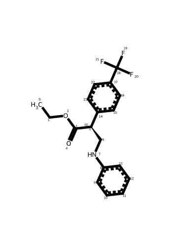 CCOC(=O)[C@H](CNc1ccccc1)c1ccc(C(F)(F)F)cc1